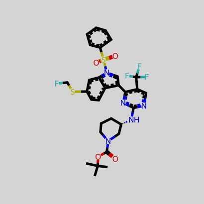 CC(C)(C)OC(=O)N1CCC[C@H](Nc2ncc(C(F)(F)F)c(-c3cn(S(=O)(=O)c4ccccc4)c4cc(SCF)ccc34)n2)C1